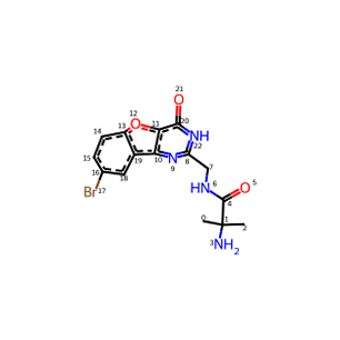 CC(C)(N)C(=O)NCc1nc2c(oc3ccc(Br)cc32)c(=O)[nH]1